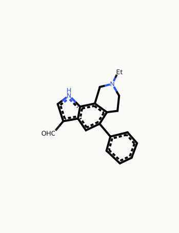 CCN1CCc2c(-c3ccccc3)cc3c(C=O)c[nH]c3c2C1